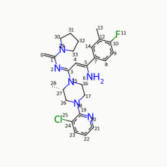 C=C(/N=C(\C=C(/N)c1ccc(F)c(C)c1)N1CCN(c2ncccc2Cl)C[C@@H]1C)N1CCCC1